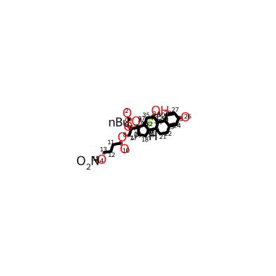 CCCCC(=O)O[C@]1(C(=O)COC(=O)CCCO[N+](=O)[O-])[C@@H](C)C[C@H]2C3CCC4=CC(=O)C=C[C@]4(C)[C@@]3(F)[C@@H](O)C[C@@]21C